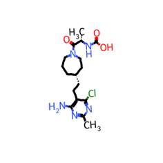 Cc1nc(N)c(CC[C@@H]2CCCN(C(=O)[C@H](C)NC(=O)O)CC2)c(Cl)n1